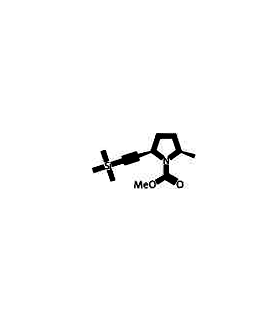 COC(=O)N1[C@H](C)CC[C@@H]1C#C[Si](C)(C)C